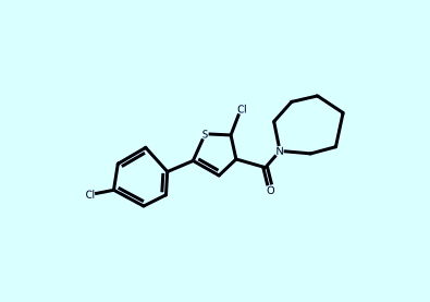 O=C(C1C=C(c2ccc(Cl)cc2)SC1Cl)N1CCCCCC1